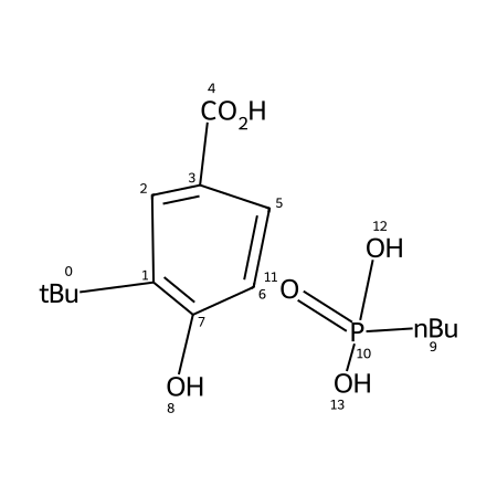 CC(C)(C)c1cc(C(=O)O)ccc1O.CCCCP(=O)(O)O